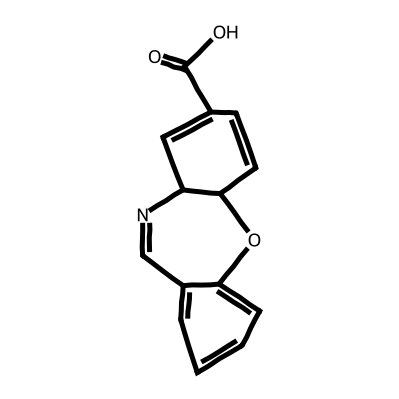 O=C(O)C1=CC2N=Cc3ccccc3OC2C=C1